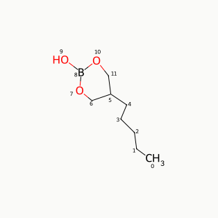 CCCCCC1COB(O)OC1